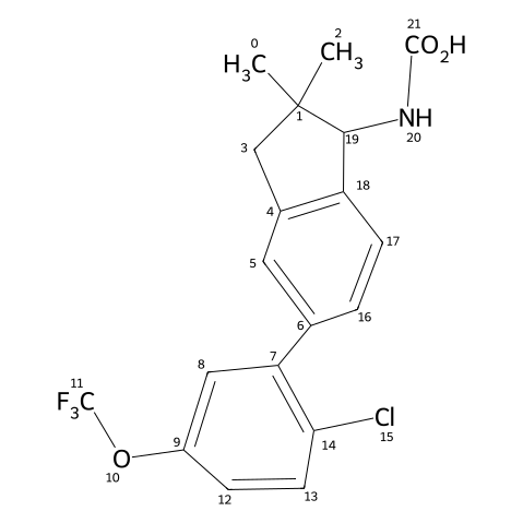 CC1(C)Cc2cc(-c3cc(OC(F)(F)F)ccc3Cl)ccc2C1NC(=O)O